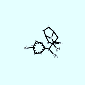 CC(C(=O)N1C2CCC1CC(O)C2)c1ccc(Br)cc1